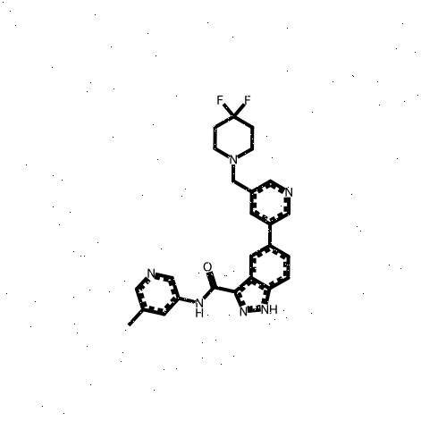 Cc1cncc(NC(=O)c2n[nH]c3ccc(-c4cncc(CN5CCC(F)(F)CC5)c4)cc23)c1